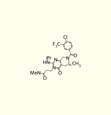 CNC(=O)CCn1c(NC(C)C)nc2c(c1=O)C[C@@H](C)N(C(=O)c1ccc(Cl)c(C(F)(F)F)c1)C2